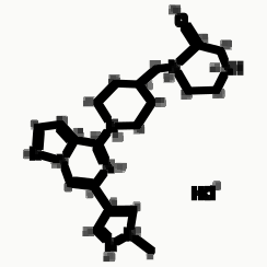 Cl.Cn1cc(-c2cn3nccc3c(N3CCC(CN4CCNCC4=O)CC3)n2)cn1